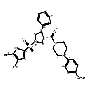 COc1ccc(N2CCN(C(=O)[C@@H]3CN(S(=O)(=O)c4cc(Br)c(Br)s4)C[C@H]3c3ccccc3)CC2)cc1